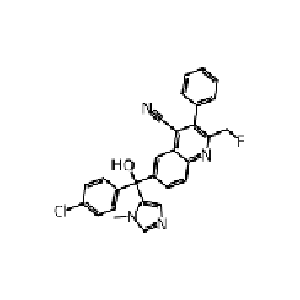 Cn1cncc1C(O)(c1ccc(Cl)cc1)c1ccc2nc(CF)c(-c3ccccc3)c(C#N)c2c1